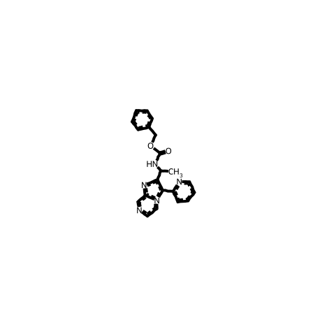 CC(NC(=O)OCc1ccccc1)c1nc2cnccn2c1-c1ccccn1